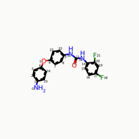 Nc1ccc(Oc2ccc(NC(=O)Nc3ccc(F)cc3F)cc2)cc1